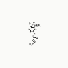 CCOC(=O)CCc1ccnc(C(C)C)c1